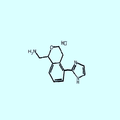 Cl.NCC1OCCc2c(-c3ncc[nH]3)cccc21